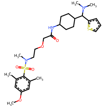 COc1cc(C)c(S(=O)(=O)N(C)CCOCC(=O)NC2CCC(C(c3cccs3)N(C)C)CC2)c(C)c1